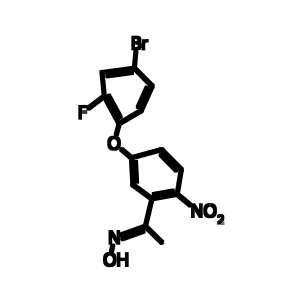 C/C(=N\O)c1cc(Oc2ccc(Br)cc2F)ccc1[N+](=O)[O-]